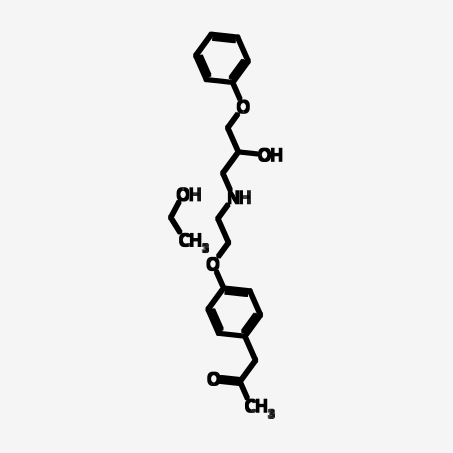 CC(=O)Cc1ccc(OCCNCC(O)COc2ccccc2)cc1.CCO